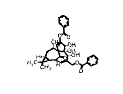 C[C@@H]1C[C@@H]2C([C@@H]3C=C(COC(=O)c4ccccc4)[C@@H](O)[C@]4(O)[C@@H](O)C(OC(=O)c5ccccc5)=CC14C3=O)C2(C)C